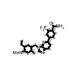 C=Cc1cc(Cn2cnc3ccc(-c4ccc(C(N)=O)c(C(F)(F)F)c4)nc32)c(F)cc1NC